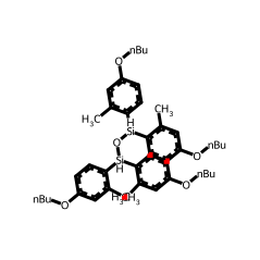 CCCCOc1ccc([SiH](O[SiH](c2ccc(OCCCC)cc2C)c2ccc(OCCCC)cc2C)c2ccc(OCCCC)cc2C)c(C)c1